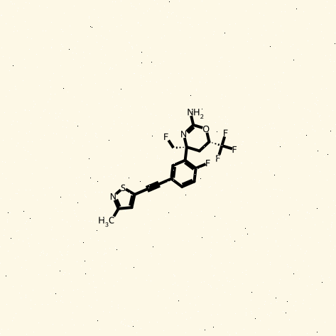 Cc1cc(C#Cc2ccc(F)c([C@]3(CF)C[C@@H](C(F)(F)F)OC(N)=N3)c2)sn1